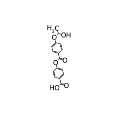 CC(O)Oc1ccc(C(=O)Oc2ccc(C(=O)O)cc2)cc1